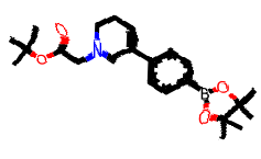 CC(C)(C)OC(=O)CN1CCC=C(c2ccc(B3OC(C)(C)C(C)(C)O3)cc2)C1